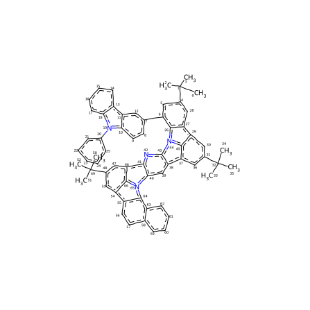 CC(C)(C)c1cc(-c2ccc3c(c2)c2ccccc2n3-c2ccccc2)c2c(c1)c1cc(C(C)(C)C)cc3c4cc5c(nc4n2c31)c1cc(C(C)(C)C)cc2c3ccc4ccccc4c3n5c21